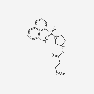 COCCC(=O)N[C@H]1CCN(S(=O)(=O)c2cccc3cncc(Cl)c23)C1